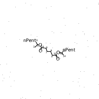 CCCCCC(C)OC(=O)CCCCC(=O)OC(C)CCCCC